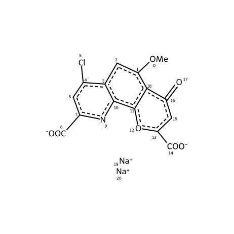 COc1cc2c(Cl)cc(C(=O)[O-])nc2c2oc(C(=O)[O-])cc(=O)c12.[Na+].[Na+]